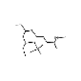 CCC(CCCCC(C)NC)CC(CC)CC(C)(C)C